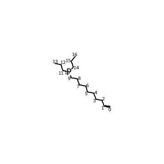 C=CCCCCCCCCP(CCC)CCC